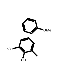 CCCCc1cccc(C)c1O.COc1ccccc1